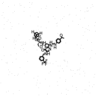 CC[C@H](NC(=O)[C@@H]1C[C@@](C)(NCNc2ccc(C(C)=O)cc2)c2ncc(NCc3cccc(C(F)(F)F)c3)c(=O)n21)B1O[C@@H]2C[C@@H]3C[C@@H](C3(C)C)[C@]2(C)O1